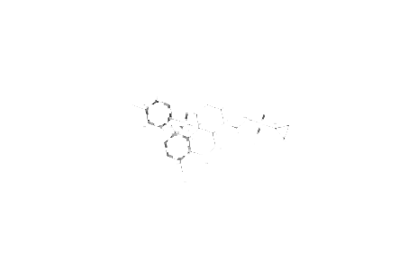 O=S(=O)(NC[C@@H]1CCC[C@@]2(S(=O)(=O)c3ccc(Cl)cc3)c3c(F)ccc(F)c3OCC12)C1CC1